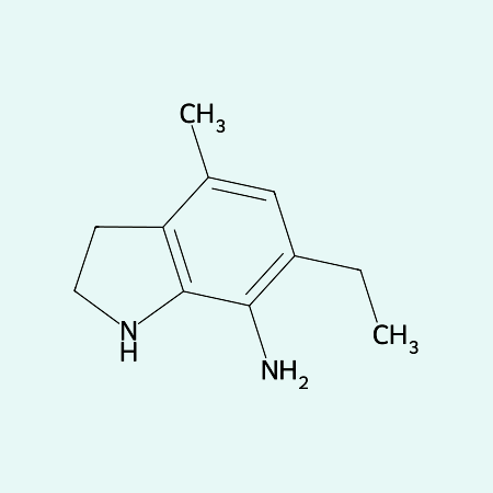 CCc1cc(C)c2c(c1N)NCC2